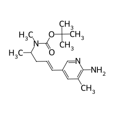 Cc1cc(C=CCC(C)N(C)C(=O)OC(C)(C)C)cnc1N